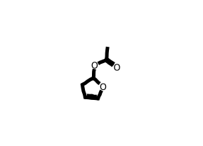 CC(=O)O[C]1CC=CO1